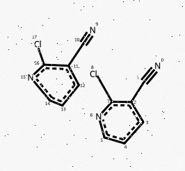 N#Cc1cccnc1Cl.N#Cc1cccnc1Cl